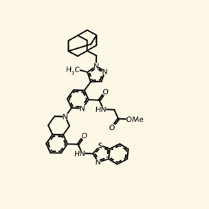 COC(=O)CNC(=O)c1nc(N2CCc3cccc(C(=O)Nc4nc5ccccc5s4)c3C2)ccc1-c1cnn(CC23CC4CC(CC(C4)C2)C3)c1C